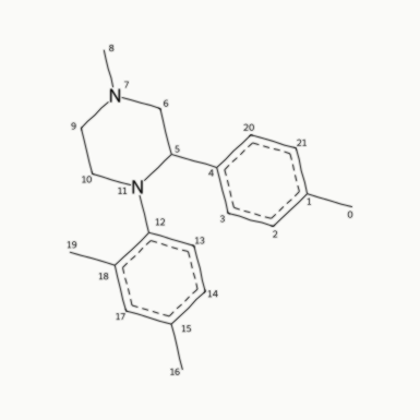 Cc1ccc(C2CN(C)CCN2c2ccc(C)cc2C)cc1